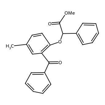 COC(=O)C(Oc1ccc(C)cc1C(=O)c1ccccc1)c1ccccc1